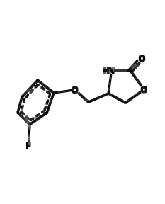 O=C1NC(COc2cccc(F)c2)CO1